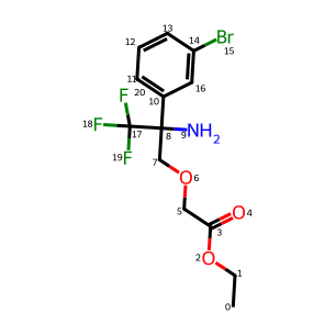 CCOC(=O)COCC(N)(c1cccc(Br)c1)C(F)(F)F